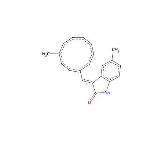 Cc1ccccccc(/C=C2/C(=O)Nc3ccc(C)cc32)cc1